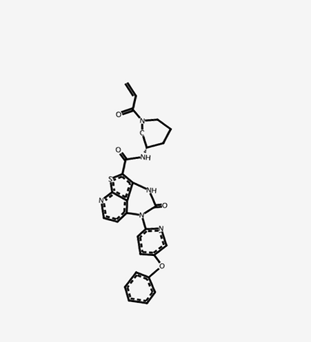 C=CC(=O)N1CCC[C@H](NC(=O)c2sc3nccc4c3c2NC(=O)N4c2ccc(Oc3ccccc3)cn2)C1